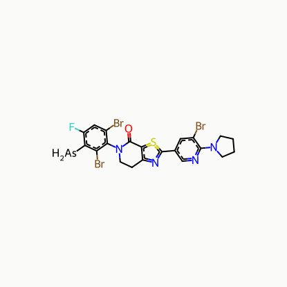 O=C1c2sc(-c3cnc(N4CCCC4)c(Br)c3)nc2CCN1c1c(Br)cc(F)c([AsH2])c1Br